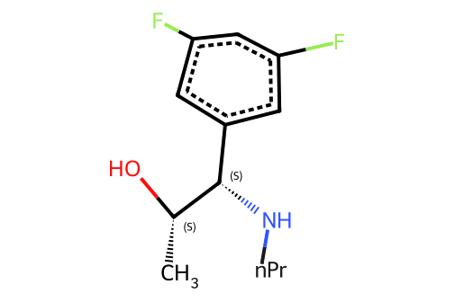 [CH2]CCN[C@@H](c1cc(F)cc(F)c1)[C@H](C)O